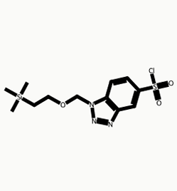 C[Si](C)(C)CCOCn1nnc2cc(S(=O)(=O)Cl)ccc21